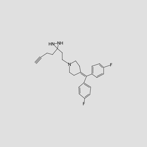 C#CCCC1(CCN2CCC(=C(c3ccc(F)cc3)c3ccc(F)cc3)CC2)NN1